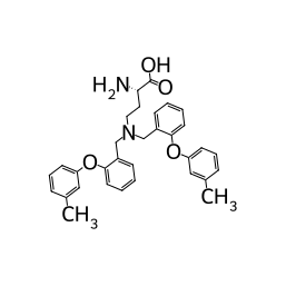 Cc1cccc(Oc2ccccc2CN(CC[C@H](N)C(=O)O)Cc2ccccc2Oc2cccc(C)c2)c1